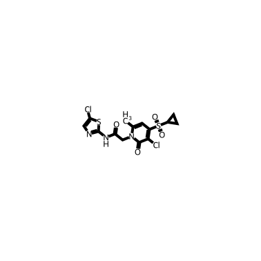 Cc1cc(S(=O)(=O)C2CC2)c(Cl)c(=O)n1CC(=O)Nc1ncc(Cl)s1